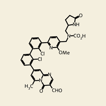 COc1nc(-c2cccc(-c3cccc(-c4cc(C)n5c(=O)c(C=O)cnc5c4)c3Cl)c2Cl)ccc1CN(CC1CCC(=O)N1)C(=O)O